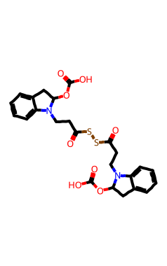 O=C(O)OC1Cc2ccccc2N1CCC(=O)SSC(=O)CCN1c2ccccc2CC1OC(=O)O